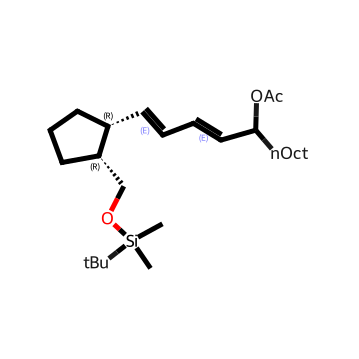 CCCCCCCCC(/C=C/C=C/[C@H]1CCC[C@H]1CO[Si](C)(C)C(C)(C)C)OC(C)=O